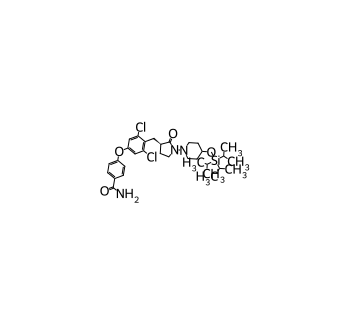 CC(C)[Si](OC1CCN(N2CC[C@@H](Cc3c(Cl)cc(Oc4ccc(C(N)=O)cc4)cc3Cl)C2=O)CC1)(C(C)C)C(C)C